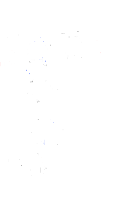 COC(=O)c1ccc(-c2nc(C)c(C(=O)O)c(Nc3ccc(CN4CCN(C(=O)OC(C)(C)C)CC4)cc3)n2)cc1